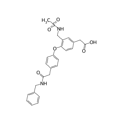 CS(=O)(=O)NCc1cc(CC(=O)O)ccc1Oc1ccc(CC(=O)NCc2ccccc2)cc1